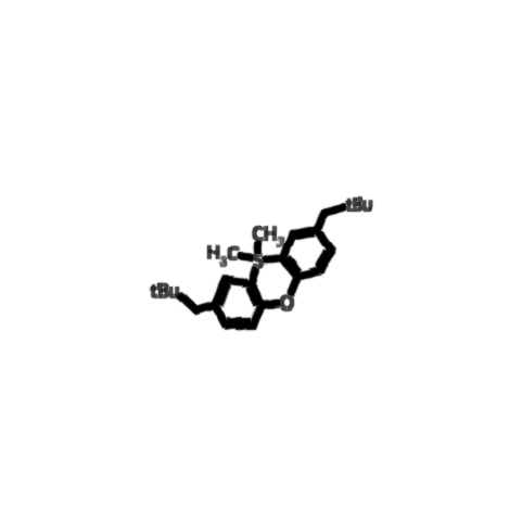 CC(C)(C)Cc1ccc2c(c1)S(C)(C)c1cc(CC(C)(C)C)ccc1O2